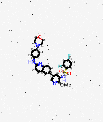 COc1ncc(-c2ccc3nc(Nc4ccc(N5CCOCC5)cc4)ccc3c2)cc1NS(=O)(=O)c1ccc(F)cc1F